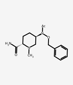 CC(=O)N(OCc1ccccc1)[C@@H]1CC[C@@H](C(N)=O)N(C)C1